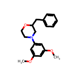 COc1cc(OC)cc(N2[CH]C(Cc3ccccc3)OCC2)c1